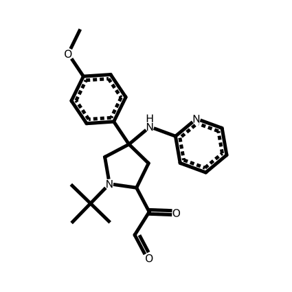 COc1ccc(C2(Nc3ccccn3)CC(C(=O)C=O)N(C(C)(C)C)C2)cc1